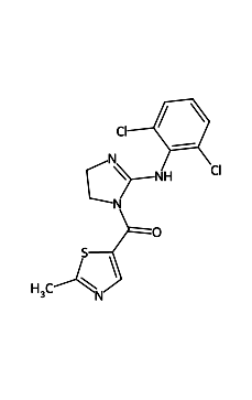 Cc1ncc(C(=O)N2CCN=C2Nc2c(Cl)cccc2Cl)s1